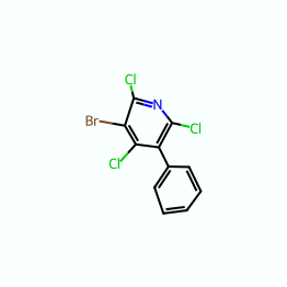 Clc1nc(Cl)c(-c2ccccc2)c(Cl)c1Br